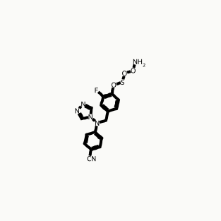 N#Cc1ccc(N(Cc2ccc(OSOON)c(F)c2)n2cnnc2)cc1